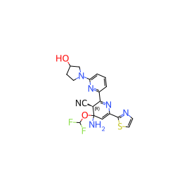 N#C[C@H]1C(c2cccc(N3CCC(O)C3)n2)=NC(c2nccs2)=CC1(N)OC(F)F